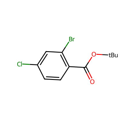 CC(C)(C)OC(=O)c1ccc(Cl)cc1Br